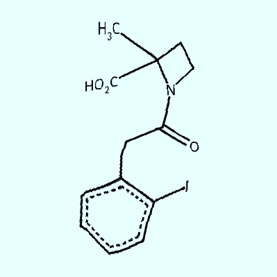 CC1(C(=O)O)CCN1C(=O)Cc1ccccc1I